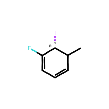 CC1C=CC=C(F)[C@@H]1I